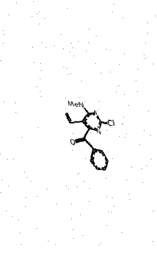 C=Cc1c(NC)nc(Cl)nc1C(=O)c1ccccc1